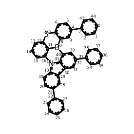 c1ccc(-c2ccc3c(c2)B2c4c(cccc4-n4c5ccc(-c6ccccc6)cc5c5cc(-c6ccccc6)cc2c54)S3)cc1